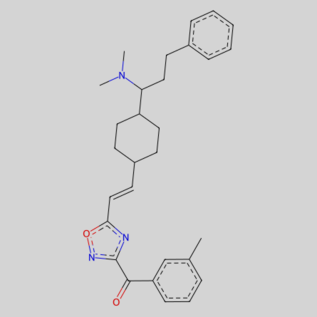 Cc1cccc(C(=O)c2noc(C=CC3CCC(C(CCc4ccccc4)N(C)C)CC3)n2)c1